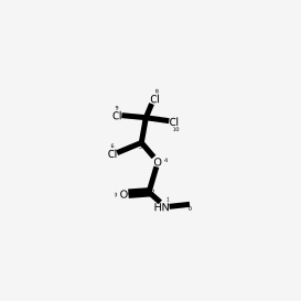 CNC(=O)OC(Cl)C(Cl)(Cl)Cl